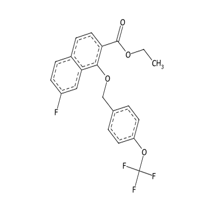 CCOC(=O)c1ccc2ccc(F)cc2c1OCc1ccc(OC(F)(F)F)cc1